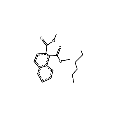 CCCCCC.COC(=O)c1ccc2ccccc2c1C(=O)OC